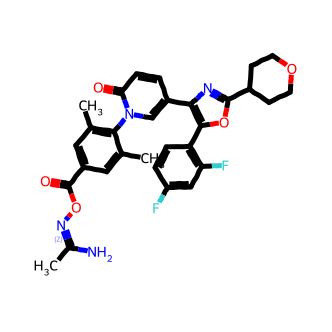 C/C(N)=N/OC(=O)c1cc(C)c(-n2cc(-c3nc(C4CCOCC4)oc3-c3ccc(F)cc3F)ccc2=O)c(C)c1